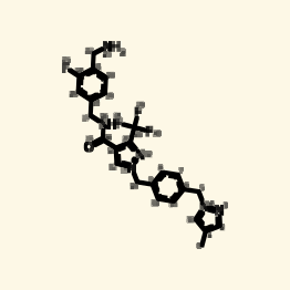 Cc1cnn(Cc2ccc(Cn3cc(C(=O)NCc4ccc(CN)c(F)c4)c(C(F)(F)F)n3)cc2)c1